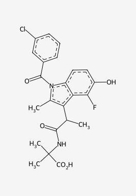 Cc1c(C(C)C(=O)NC(C)(C)C(=O)O)c2c(F)c(O)ccc2n1C(=O)c1cccc(Cl)c1